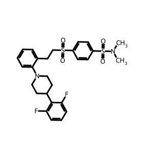 CN(C)S(=O)(=O)c1ccc(S(=O)(=O)CCc2ccccc2N2CCC(c3c(F)cccc3F)CC2)cc1